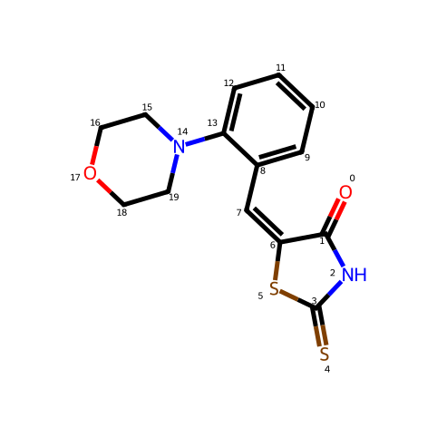 O=C1NC(=S)S/C1=C/c1ccccc1N1CCOCC1